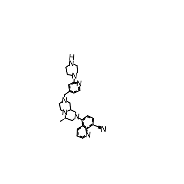 C[C@@H]1CN(c2ccc(C#N)c3ncccc23)CC2CN(Cc3ccnc(N4CCNCC4)c3)CCN21